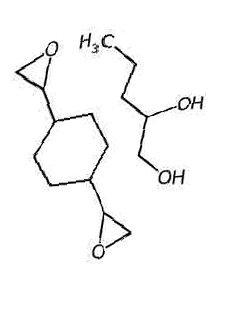 C1CC(C2CO2)CCC1C1CO1.CCCC(O)CO